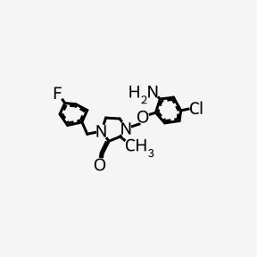 CC1C(=C=O)N(Cc2ccc(F)cc2)CCN1COc1ccc(Cl)cc1N